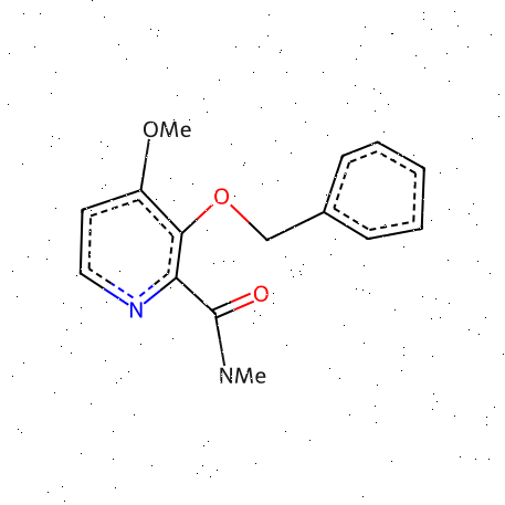 CNC(=O)c1nccc(OC)c1OCc1ccccc1